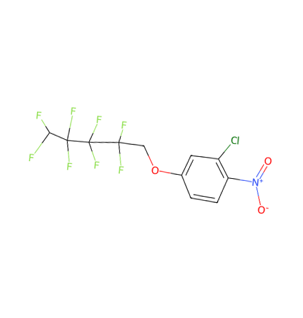 O=[N+]([O-])c1ccc(OCC(F)(F)C(F)(F)C(F)(F)C(F)F)cc1Cl